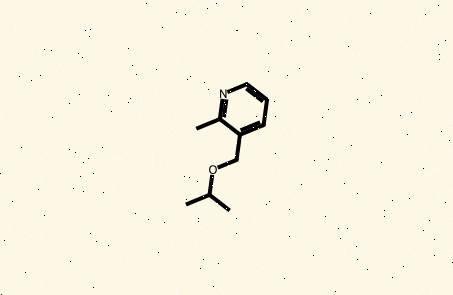 Cc1ncccc1COC(C)C